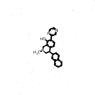 CN1Cc2c(ccc(-c3cnccn3)c2O)C(c2ccc3ccccc3c2)C1